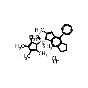 CC1=Cc2c(cc3c(c2-c2ccccc2)CCC3)[CH]1[Zr-2](=[SiH2])(=[SiH2])[CH]1C(C)=C(C)C(C)=C1C.[Cl-].[Cl-]